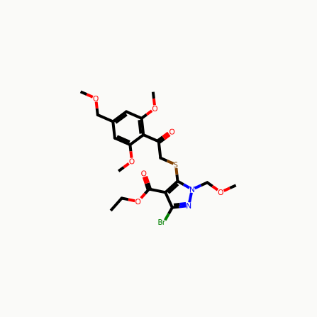 CCOC(=O)c1c(Br)nn(COC)c1SCC(=O)c1c(OC)cc(COC)cc1OC